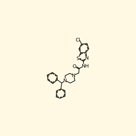 O=C(CN1CCN(C(c2ccccc2)c2ccccc2)CC1)Nc1nc2ccc(Cl)cc2s1